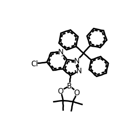 CC1(C)OB(c2nn(C(c3ccccc3)(c3ccccc3)c3ccccc3)c3ncc(Cl)cc23)OC1(C)C